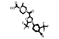 CC1CN(C(=O)C2CN(c3ccc(C#N)c(C(F)(F)F)c3)C(C(F)(F)F)O2)CCN1C(=O)O